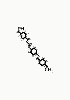 C=CC1CCC(CSC2CCC(SOSCC3CCC(C=C)OC3)CC2)CC1